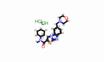 CN(C(=O)c1cn2c(nc3ccc(CN4CCOCC4)cc32)s1)C1CCCCC1.Cl.Cl